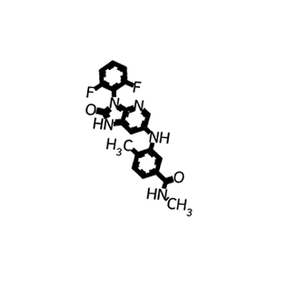 CNC(=O)c1ccc(C)c(Nc2cnc3c(c2)[nH]c(=O)n3-c2c(F)cccc2F)c1